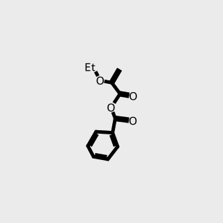 C=C(OCC)C(=O)OC(=O)c1ccccc1